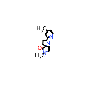 Cc1ccnc(C2=NC3(CC2)CCN(C)C3=O)c1